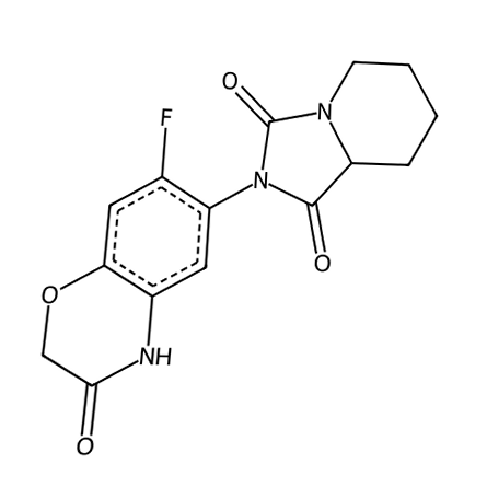 O=C1COc2cc(F)c(N3C(=O)C4CCCCN4C3=O)cc2N1